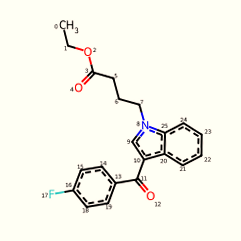 CCOC(=O)CCCn1cc(C(=O)c2ccc(F)cc2)c2ccccc21